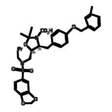 Cc1cccc(COc2ccc(C[C@H]3[C@@H](CN(CC(C)C)S(=O)(=O)c4ccc5c(c4)OCO5)OC(C)(C)N3C(=O)O)cc2)c1